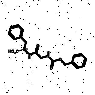 O=C(CNC(=O)OCc1ccccc1)N[C@@H](Cc1ccccc1)C(=O)O